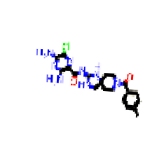 Cc1ccc(C(=O)N2CCC3(CC2)CN/C(=N\C(=O)c2nc(Cl)c(N)nc2N)N3)cc1